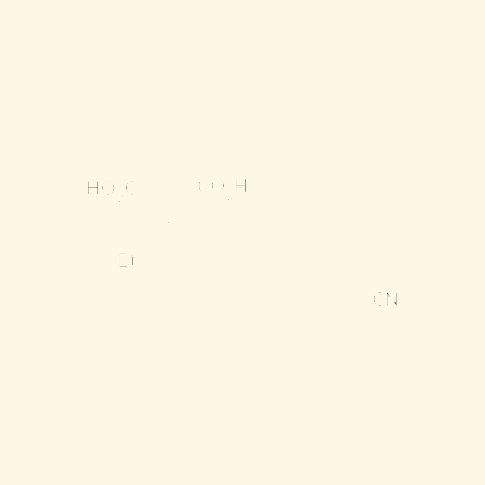 CCC(Cc1cccc(C#N)c1)(C(=O)O)C(=O)O